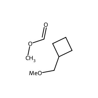 COC=O.COCC1CCC1